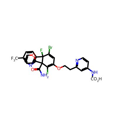 NC(=O)C1(c2ncco2)C(F)=C(OCCc2cc(NC(=O)O)ccn2)C=C(Br)C1(F)c1ccc(C(F)(F)F)cc1